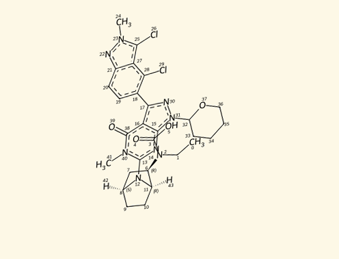 CCN(C(=O)O)[C@@H]1C[C@@H]2CC[C@H]1N2c1nc2c(c(-c3ccc4nn(C)c(Cl)c4c3Cl)nn2C2CCCCO2)c(=O)n1C